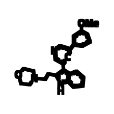 COc1cccc(-c2cncc(-c3c(CCN4CCOCC4)[nH]c4ccccc34)c2)c1